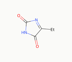 CCC1=NC(=O)NC1=O